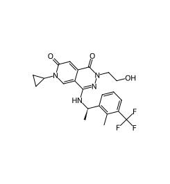 Cc1c([C@@H](C)Nc2nn(CCO)c(=O)c3cc(=O)n(C4CC4)cc23)cccc1C(F)(F)F